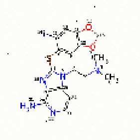 CN(C)CCn1c(Sc2cc3c(cc2I)OCO3)nc2c(N)nccc21